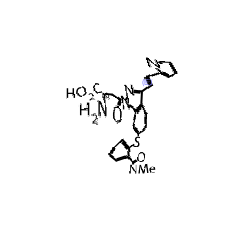 CNC(=O)c1ccccc1Sc1ccc2c(/C=C/c3ccccn3)nn(C(=O)C[C@H](N)C(=O)O)c2c1